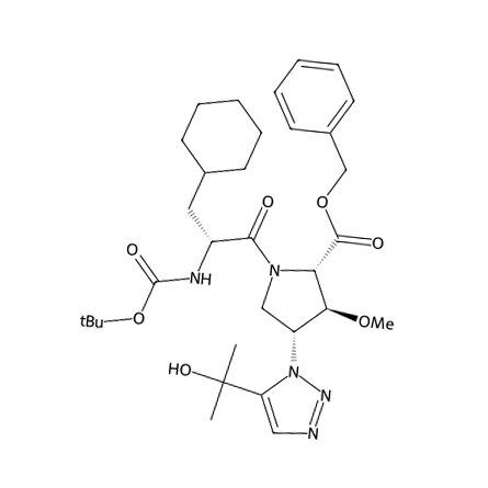 CO[C@@H]1[C@@H](C(=O)OCc2ccccc2)N(C(=O)[C@@H](CC2CCCCC2)NC(=O)OC(C)(C)C)C[C@H]1n1nncc1C(C)(C)O